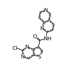 O=C(Nc1ccc2cnccc2n1)c1csc2cnc(Cl)nc12